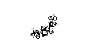 COC(=O)[C@H]1C[C@H](N2C[C@@H]3CN(C(=O)OC(C)(C)C)CCN3C2=O)CN1C